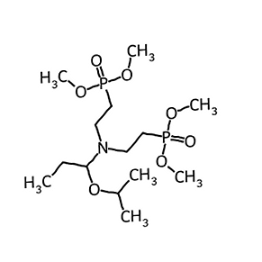 CCC(OC(C)C)N(CCP(=O)(OC)OC)CCP(=O)(OC)OC